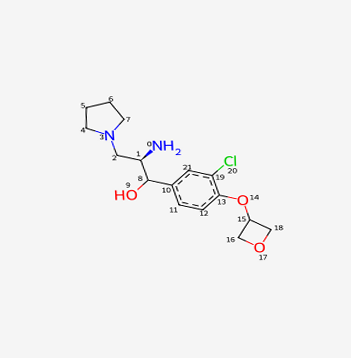 N[C@H](CN1CCCC1)C(O)c1ccc(OC2COC2)c(Cl)c1